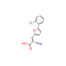 N#C/C(=C\c1ccc(-c2ccccc2Cl)o1)C(=O)O